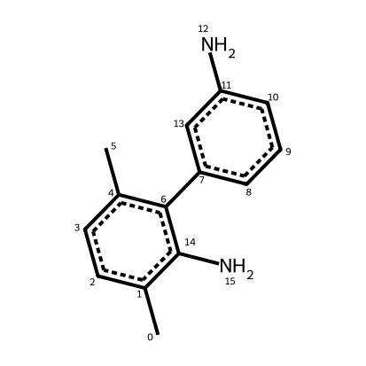 Cc1ccc(C)c(-c2cccc(N)c2)c1N